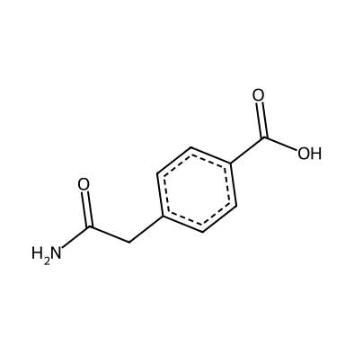 NC(=O)Cc1ccc(C(=O)O)cc1